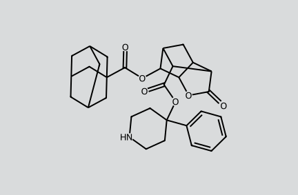 O=C1OC2C3CC(C2OC(=O)C24CC5CC(CC(C5)C2)C4)C(C(=O)OC2(c4ccccc4)CCNCC2)C13